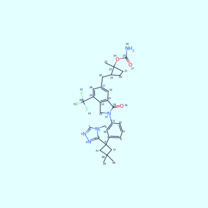 Cn1cnnc1C1(c2cccc(N3Cc4c(cc(CC5CCC5(C)OC(N)=O)cc4C(F)(F)F)C3=O)c2)CC(C)(C)C1